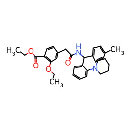 CCOC(=O)c1ccc(CC(=O)NC(c2ccc(C)cc2)c2ccccc2N2CCCCC2)cc1OCC